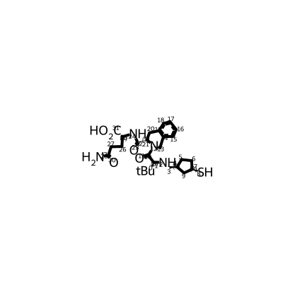 CC(C)(C)[C@H](NC[C@H]1CC[C@@H](S)C1)C(=O)N1Cc2ccccc2C[C@H]1C(=O)N[C@@H](CCC(N)=O)C(=O)O